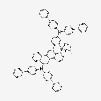 C[Si]1(C)c2cc(N(c3ccc(-c4ccccc4)cc3)c3ccc(-c4ccccc4)cc3)ccc2-c2cc3c4ccccc4c(N(c4ccc(-c5ccccc5)cc4)c4ccc(-c5ccccc5)cc4)cc3c3cccc1c23